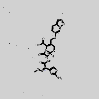 CO/N=C(\C(=O)N[C@@H]1C(=O)N2C(C(=O)O)=C(CSc3ccc4cnnn4c3)CS[C@H]12)c1csc(N)n1